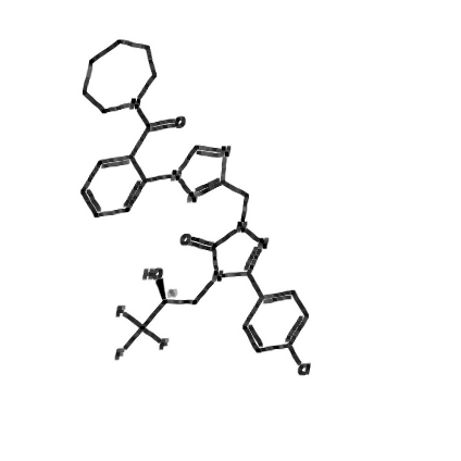 O=C(c1ccccc1-n1cnc(Cn2nc(-c3ccc(Cl)cc3)n(C[C@H](O)C(F)(F)F)c2=O)n1)N1CCCCCC1